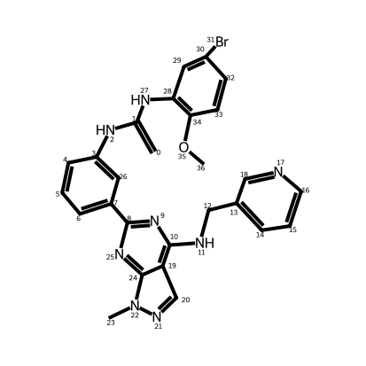 C=C(Nc1cccc(-c2nc(NCc3cccnc3)c3cnn(C)c3n2)c1)Nc1cc(Br)ccc1OC